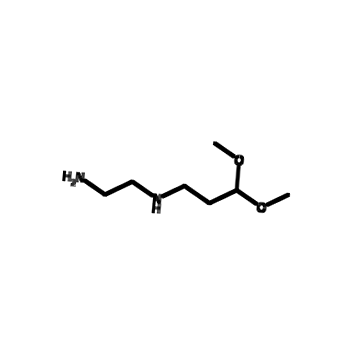 COC(CCNCCN)OC